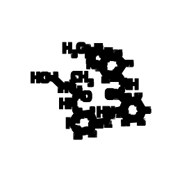 CN(CCO)C(=O)Nc1cc(CNc2ccccc2C(=O)Nc2ccc3cn(C)nc3c2)ccn1